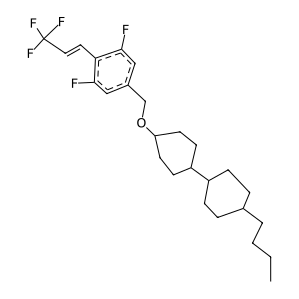 CCCCC1CCC(C2CCC(OCc3cc(F)c(/C=C/C(F)(F)F)c(F)c3)CC2)CC1